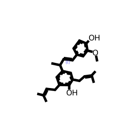 COc1cc(/C=C/C(C)c2cc(CC=C(C)C)c(O)c(CC=C(C)C)c2)ccc1O